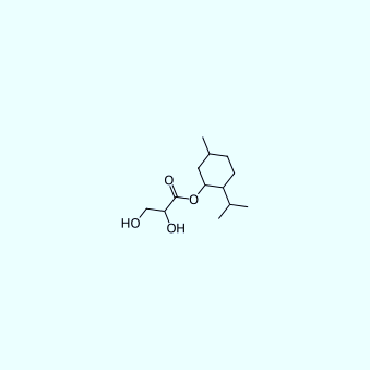 CC1CCC(C(C)C)C(OC(=O)C(O)CO)C1